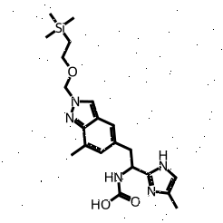 Cc1c[nH]c(C(Cc2cc(C)c3nn(COCC[Si](C)(C)C)cc3c2)NC(=O)O)n1